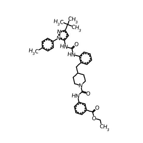 CCOC(=O)c1cccc(NC(=O)N2CCC(Cc3ccccc3NC(=O)Nc3cc(C(C)(C)C)nn3-c3ccc(C)cc3)CC2)c1